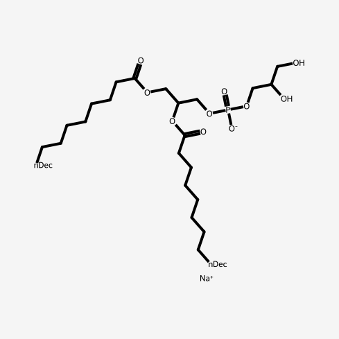 CCCCCCCCCCCCCCCCCC(=O)OCC(COP(=O)([O-])OCC(O)CO)OC(=O)CCCCCCCCCCCCCCCCC.[Na+]